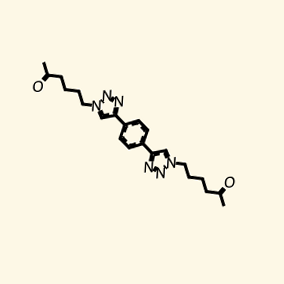 CC(=O)CCCCn1cc(-c2ccc(-c3cn(CCCCC(C)=O)nn3)cc2)nn1